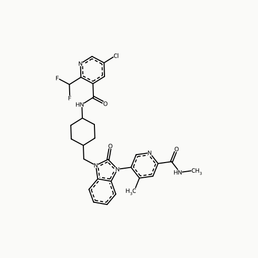 CNC(=O)c1cc(C)c(-n2c(=O)n(CC3CCC(NC(=O)c4cc(Cl)cnc4C(F)F)CC3)c3ccccc32)cn1